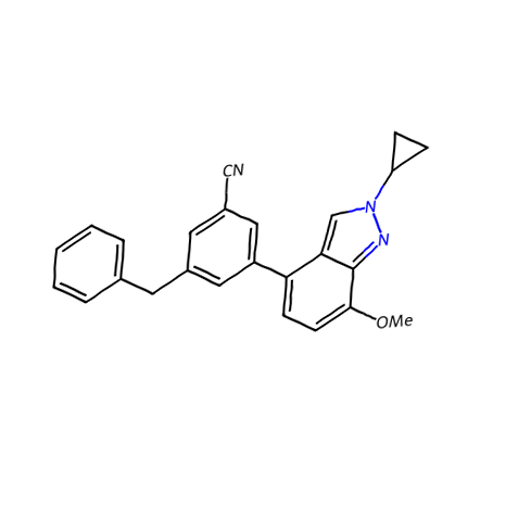 COc1ccc(-c2cc(C#N)cc(Cc3ccccc3)c2)c2cn(C3CC3)nc12